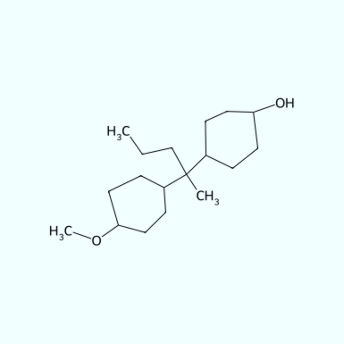 CCCC(C)(C1CCC(O)CC1)C1CCC(OC)CC1